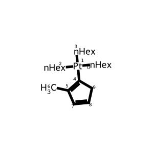 CCCCC[CH2][Pt]([CH2]CCCCC)([CH2]CCCCC)[C]1=C(C)C=CC1